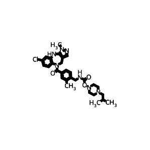 Cc1cc(C(=O)N2Cc3cnn(C)c3Nc3cc(Cl)ccc32)ccc1CNC(=O)ON1CCN(CC(C)C)CC1